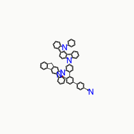 N#Cc1ccc(-c2ccc(C#N)c(-c3ccc(-n4c5ccccc5c5c4ccc4c6ccccc6n(-c6ccccc6)c45)cc3-n3c4ccccc4c4cc5c(cc43)Cc3ccccc3-5)c2)cc1